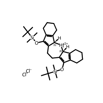 CC(C)(C)[Si](C)(C)OC1=C2CCC3=C(O[Si](C)(C)C(C)(C)C)C4=C(CCCC4)[C@@H]3[Hf+2][C@@H]2C2=C1CCCC2.[Cl-].[Cl-]